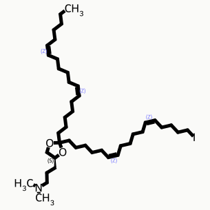 CCCCC/C=C\CCCC/C=C\CCCCCC1(CCCCC/C=C\CCCC/C=C\CCCCI)OC[C@H](CCCN(C)C)O1